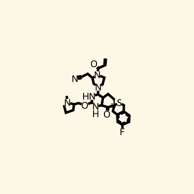 C=CC(=O)N1CCN(C2NC(OCC3CCCN3C)NC3C(=O)[C@@]4(CCC32)Cc2cc(F)ccc2CS4)CC1CC#N